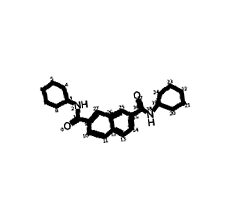 O=C(NC1CCCCC1)c1ccc2ccc(C(=O)NC3CCCCC3)cc2c1